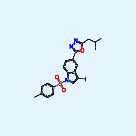 Cc1ccc(S(=O)(=O)n2cc(I)c3cc(-c4nnc(CC(C)C)o4)ccc32)cc1